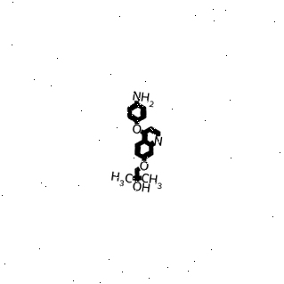 CC(C)(O)COc1ccc2c(Oc3ccc(N)cc3)ccnc2c1